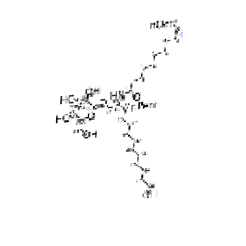 CCCCCCCC/C=C\CCCCCCCC(=O)N[C@H](CO[C@H]1O[C@H](CO)[C@H](O)[C@H](O)[C@H]1O)[C@H](CCCCC)CCCCCCCCCCO